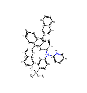 C[Si](C)(C)c1ccc(N(c2ccc3c(-c4ccc5ccccc5c4)c4ccccc4c(-c4ccc5ccccc5c4)c3c2)c2ccccn2)cc1